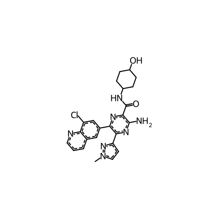 Cn1ccc(-c2nc(N)c(C(=O)NC3CCC(O)CC3)nc2-c2cc(Cl)c3ncccc3c2)n1